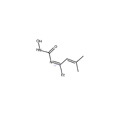 CC/C(C=C(C)C)=N/C(=O)NO